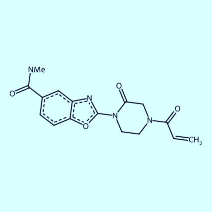 C=CC(=O)N1CCN(c2nc3cc(C(=O)NC)ccc3o2)C(=O)C1